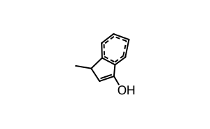 CC1C=C(O)c2ccccc21